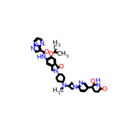 CC(C)Oc1cc2c(cc1NC(=O)c1cnn3cccnc13)CN([C@H]1CC[C@H](N(C)C3CN(c4ccc(C5CCC(=O)NC5=O)cn4)C3)CC1)C2=O